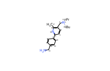 CCCN(Cc1ccc(-c2ccc(CN)cc2)nc1C)[C@@H](C)CC